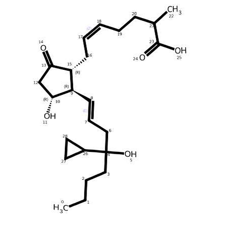 CCCCC(O)(C/C=C/[C@H]1[C@H](O)CC(=O)[C@@H]1C/C=C\CCC(C)C(=O)O)C1CC1